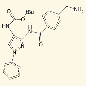 CC(C)(C)OC(=O)Nc1cn(-c2ccccc2)nc1NC(=O)c1ccc(CN)cc1